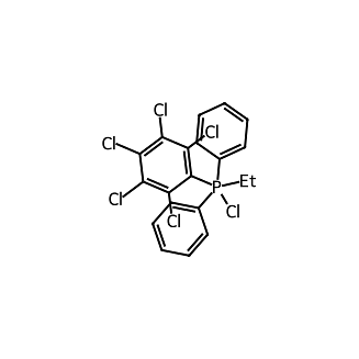 CCP(Cl)(c1ccccc1)(c1ccccc1)c1c(Cl)c(Cl)c(Cl)c(Cl)c1Cl